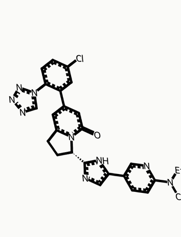 CCN(C(=O)O)c1ccc(-c2cnc([C@@H]3CCc4cc(-c5cc(Cl)ccc5-n5cnnn5)cc(=O)n43)[nH]2)cn1